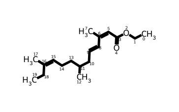 CCOC(=O)C=C(C)C=CCC(C)CCC=C(C)CC